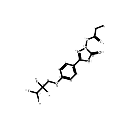 CCC(=O)On1nc(-c2ccc(OCC(F)(F)C(F)F)cc2)[nH]c1=O